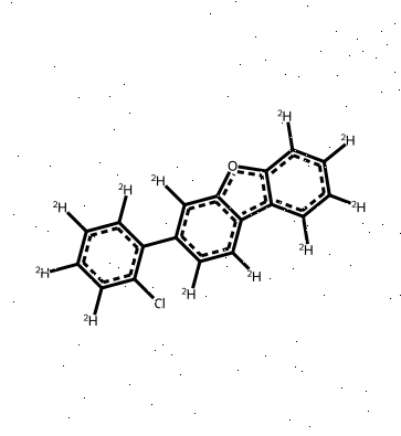 [2H]c1c([2H])c([2H])c(-c2c([2H])c([2H])c3c(oc4c([2H])c([2H])c([2H])c([2H])c43)c2[2H])c(Cl)c1[2H]